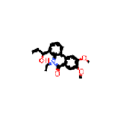 C=CC(O)c1cccc2c3cc(OC)c(OC)cc3c(=O)n(CC)c12